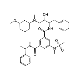 COC1CCCC(N(C)CC(O)C(Cc2ccccc2)NC(=O)c2cc(C(=O)NC(C)c3ccccc3)cc(N(C)S(C)(=O)=O)c2)C1